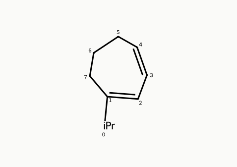 CC(C)C1=CC=CCCC1